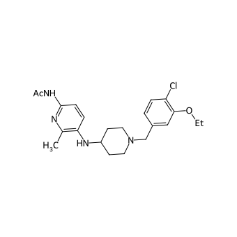 CCOc1cc(CN2CCC(Nc3ccc(NC(C)=O)nc3C)CC2)ccc1Cl